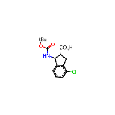 CC(C)(C)OC(=O)NC1c2cccc(Cl)c2C[C@H]1C(=O)O